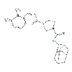 C=C1C=Cc2cc(C3CCN(C(=O)OC4C5CC6CC(C5)CC4C6)C3)ccc2N1C